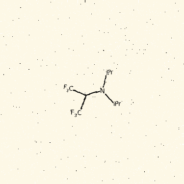 CC(C)N(C(C)C)C(C(F)(F)F)C(F)(F)F